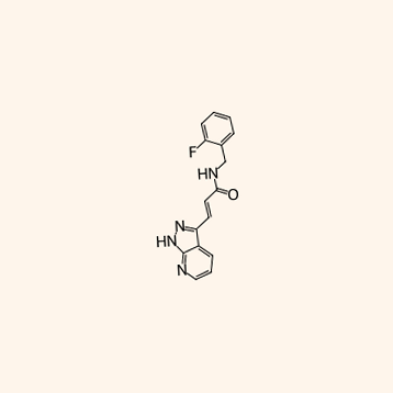 O=C(C=Cc1n[nH]c2ncccc12)NCc1ccccc1F